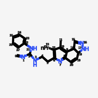 C=NC(NCCc1nc2c(c(C)c1CCC)C1C=NNC1C=C2)Nc1ccccc1